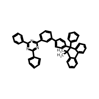 CC1(C)c2ccccc2-c2ccccc2C1(c1ccccc1)c1ccc(-c2cccc(-c3nc(-c4ccccc4)nc(-c4ccccc4)n3)c2)cc1